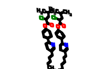 CCCCCCc1ccc(-c2ccc(OC(=O)C(Cl)CC(C)C)cc2)nc1.CCCCCc1ccc(-c2ccc(OC(=O)C(Cl)CC(C)C)cc2)nc1